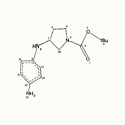 CC(C)(C)OC(=O)N1CCC(Nc2ccc(N)cc2)C1